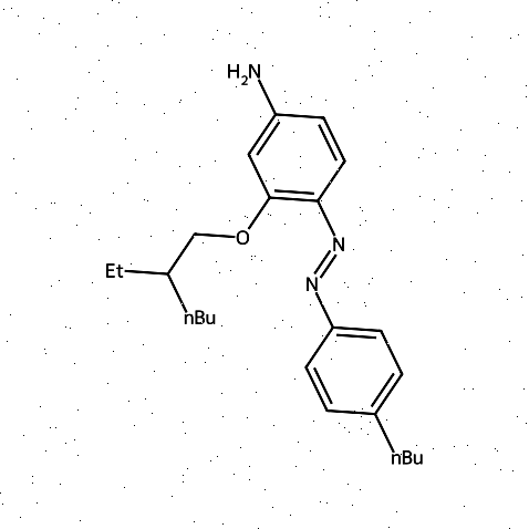 CCCCc1ccc(N=Nc2ccc(N)cc2OCC(CC)CCCC)cc1